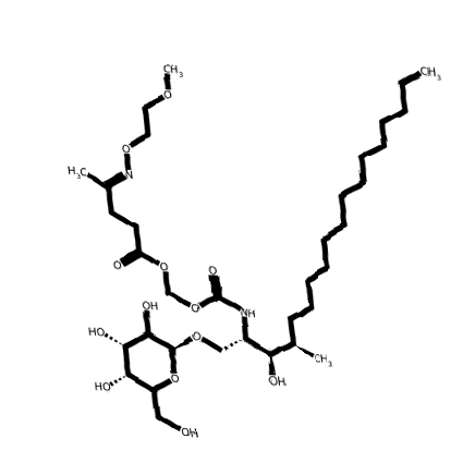 CCCCCCCCCCCCCC[C@@H](C)[C@@H](O)[C@H](CO[C@H]1OC(CO)[C@H](O)[C@H](O)C1O)NC(=O)OCOC(=O)CCC(C)=NOCCOC